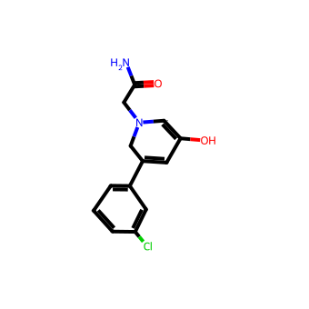 NC(=O)CN1[C]=C(O)C=C(c2cccc(Cl)c2)C1